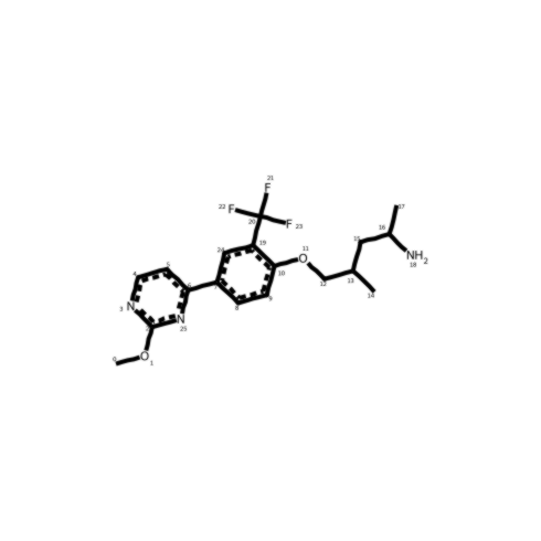 COc1nccc(-c2ccc(OCC(C)CC(C)N)c(C(F)(F)F)c2)n1